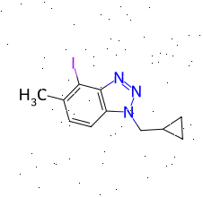 Cc1ccc2c(nnn2CC2CC2)c1I